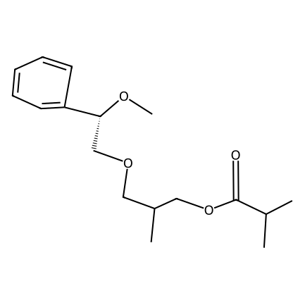 CO[C@H](COCC(C)COC(=O)C(C)C)c1ccccc1